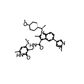 CO[C@H]1CC[C@H]([C@@H](C)n2c(C)c(C(=O)NCc3c(SC)cc(C)[nH]c3=O)c3cc(-c4cnn(C)c4)ccc32)CC1